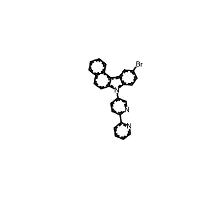 Brc1ccc2c(c1)c1c3ccccc3ccc1n2-c1ccc(-c2ccccn2)nc1